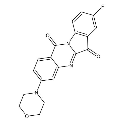 O=C1c2cc(F)ccc2-n2c1nc1cc(N3CCOCC3)ccc1c2=O